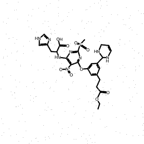 CCOC(=O)CCc1cc(Oc2nc(S(C)(=O)=O)nc(NC(Cc3c[nH]cn3)C(=O)O)c2[N+](=O)[O-])cc(C2NC=CCN2)c1